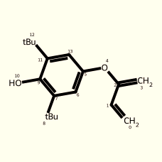 C=CC(=C)Oc1cc(C(C)(C)C)c(O)c(C(C)(C)C)c1